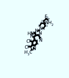 Cn1nc2ccc(-c3n[nH]c4nc(N5CCC(N)(CC(F)F)CC5)nc(C#N)c34)c(Cl)c2c1Cl